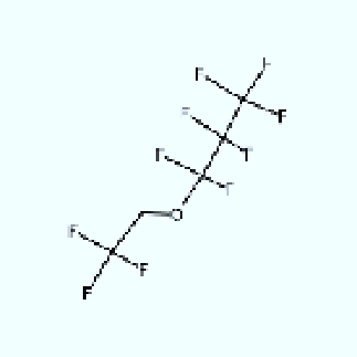 FC(F)(F)COC(F)(F)C(F)(F)C(F)(F)F